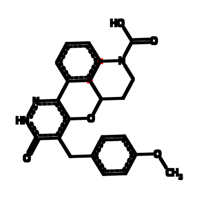 COc1ccc(Cc2c(OC3CCN(C(=O)O)CC3)c(-c3ccccc3)n[nH]c2=O)cc1